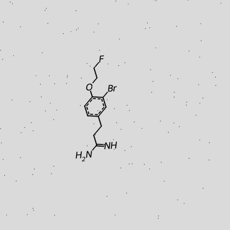 N=C(N)CCc1ccc(OCCF)c(Br)c1